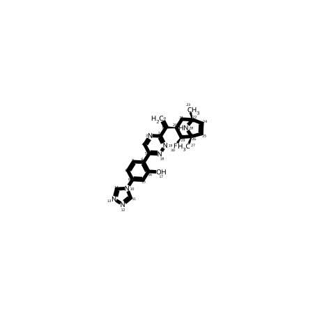 C=C(c1ncc(-c2ccc(-n3cnnc3)cc2O)nn1)[C@H]1C[C@]2(C)C=C[C@@](C)(N2)[C@H]1F